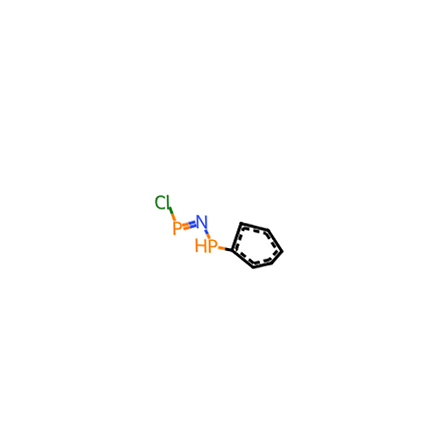 ClP=NPc1ccccc1